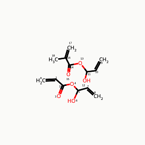 C=CC(=O)OC(O)C=C.C=CC(O)OC(=O)C(=C)C